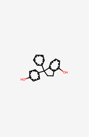 Oc1ccc(C2(c3ccccc3)CCc3c(O)cccc32)cc1